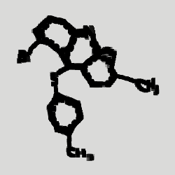 Cc1ccc(Sc2c3ccc(C)cc3nc3cccc(Br)c23)cc1